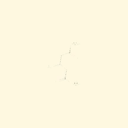 COC(=O)CC(CC(=O)OC)C(C)=O